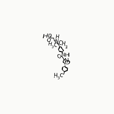 CCc1ccc(-c2cc(C(=O)Nc3ccc(C(C)(C)NCCC(=O)O)cc3)no2)cc1